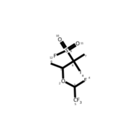 CC(OC(F)C(F)(F)F)C(C)(I)S(=O)(=O)F